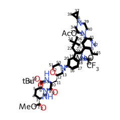 COC(=O)[C@@H]1CCCN(C(=O)[C@H](C[C@H]2CN(c3ccc4c(c3)c(CC(C)(C)COC(C)=O)c(-c3cc(N5CCN(C6CC6)CC5)cnc3[C@H](C)OC)n4CC(F)(F)F)CCO2)NC(=O)OC(C)(C)C)N1